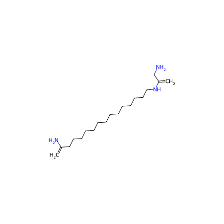 C=C(N)CCCCCCCCCCCCCCNC(=C)CN